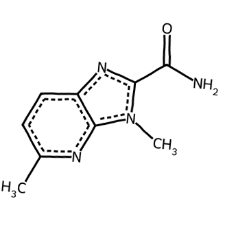 Cc1ccc2nc(C(N)=O)n(C)c2n1